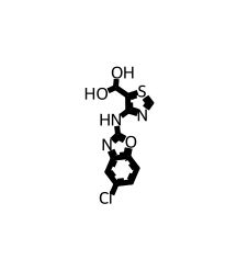 OC(O)c1scnc1Nc1nc2cc(Cl)ccc2o1